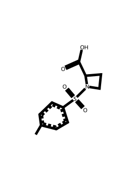 Cc1ccc(S(=O)(=O)N2CCC2C(=O)O)cc1